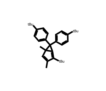 CC1=[C]C2(C)C(=C1C(C)(C)C)C2(c1ccc(C(C)(C)C)cc1)c1ccc(C(C)(C)C)cc1